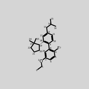 CCOc1ccc(F)c(-c2ccc(CC(C)C)cc2[C@@H]2CCCC2(C)C)c1